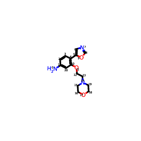 Nc1ccc(-c2cnco2)c(OCCN2CCOCC2)c1